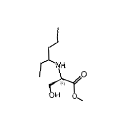 CCCC(CC)N[C@H](CO)C(=O)OC